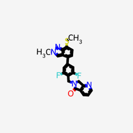 CSc1ccc(-c2cc(F)c(CN3Cc4ncccc4C3=O)c(F)c2)c2cn(C)nc12